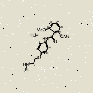 CCNCCOc1ccc(NC(=O)c2c(OC)cccc2OC)cc1.Cl